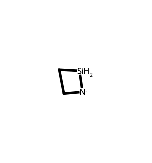 C1C[SiH2][N]1